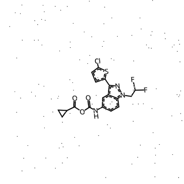 O=C(Nc1ccc2c(c1)c(-c1ccc(Cl)s1)nn2CC(F)F)OC(=O)C1CC1